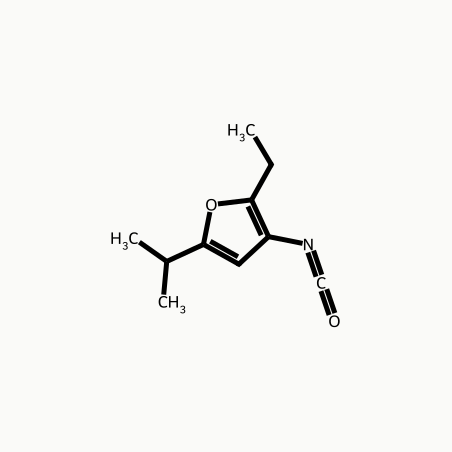 CCc1oc(C(C)C)cc1N=C=O